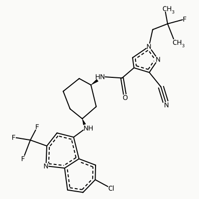 CC(C)(F)Cn1cc(C(=O)N[C@@H]2CCC[C@H](Nc3cc(C(F)(F)F)nc4ccc(Cl)cc34)C2)c(C#N)n1